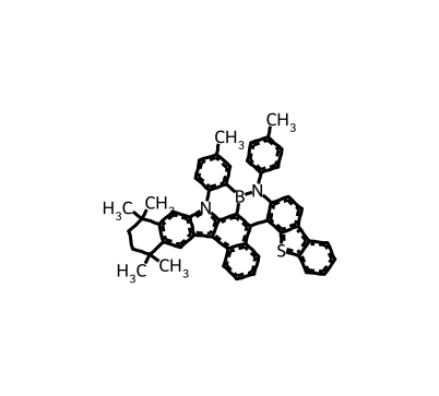 Cc1ccc(N2B3c4cc(C)ccc4-n4c5cc6c(cc5c5c7ccccc7c(c3c54)-c3c2ccc2c3sc3ccccc32)C(C)(C)CCC6(C)C)cc1